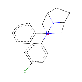 Fc1ccc(N2CC3CCC(C2)N3Cc2ccccc2)cc1